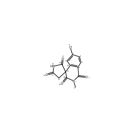 CN1C(=O)c2ccc(Cl)cc2C2(CC(=O)NC2=O)C1=O